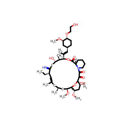 CC[C@@H]1/C=C(\C)C[C@H](C)C[C@H](OC)[C@H]2O[C@@](O)(C(=O)C(=O)N3CCCC[C@H]3C(=O)O[C@H](/C(C)=C/[C@@H]3CC[C@@H](OCCO)[C@H](OC)C3)[C@H](C)[C@@H](O)CC1=N)[C@H](C)C[C@@H]2OC